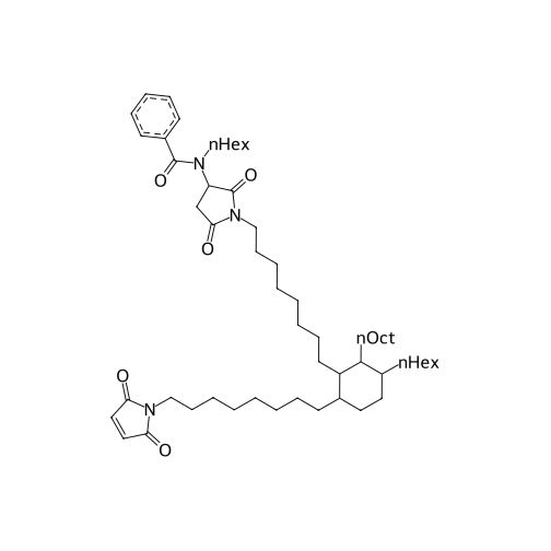 CCCCCCCCC1C(CCCCCC)CCC(CCCCCCCCN2C(=O)C=CC2=O)C1CCCCCCCCN1C(=O)CC(N(CCCCCC)C(=O)c2ccccc2)C1=O